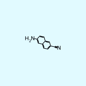 N#Cc1ccc2cc(N)ccc2c1